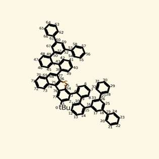 CC(C)(C)c1cc(-c2ccccc2-c2ccccc2-c2cc(-c3ccccc3)cc(-c3ccccc3)c2)c2sc3c(-c4ccccc4-c4ccccc4-c4cc(-c5ccccc5)cc(-c5ccccc5)c4)cc4ccccc4c3c2c1